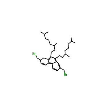 CC(C)CCCC(C)CCc1c2c(c3ccc(CBr)cc3c1CCC(C)CCCC(C)C)C=CC(CBr)C2